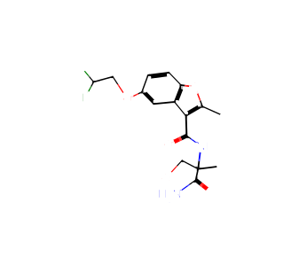 Cc1oc2ccc(OCC(F)F)cc2c1C(=O)NC(C)(CO)C(N)=O